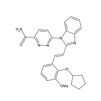 COc1cccc(/C=C/c2nc3ccccc3n2-c2ccc(C(N)=O)nn2)c1OC1CCCC1